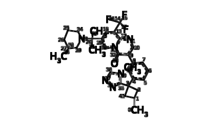 CC1CC(c2cccc(-c3cnc4c(C(F)(F)F)cc(C(C)(C)N5CCC[C@H](C)C5)cn4c3=O)c2)(c2nncn2C)C1